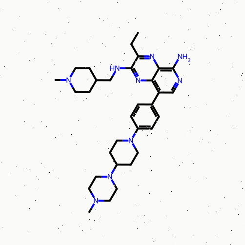 CCc1nc2c(N)ncc(-c3ccc(N4CCC(N5CCN(C)CC5)CC4)cc3)c2nc1NCC1CCN(C)CC1